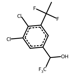 CC(F)(F)c1cc(C(O)C(F)(F)F)cc(Cl)c1Cl